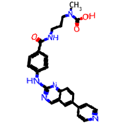 CN(CCCNC(=O)c1ccc(Nc2ncc3cc(-c4ccncc4)ccc3n2)cc1)C(=O)O